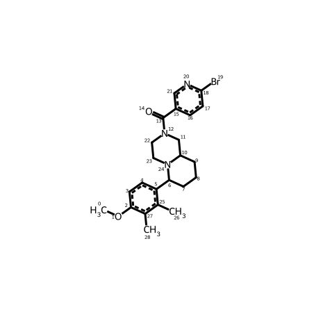 COc1ccc(C2CCCC3CN(C(=O)c4ccc(Br)nc4)CCN32)c(C)c1C